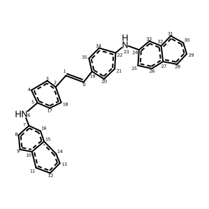 C(=Cc1ccc(Nc2ccc3ccccc3c2)cc1)c1ccc(Nc2ccc3ccccc3c2)cc1